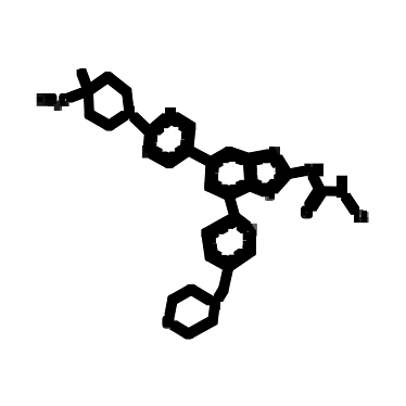 CCNC(=O)Nc1nc2cc(-c3cnc(N4CCC(C)(C(=O)O)CC4)nc3)cc(-c3ccc(CN4CCOCC4)cn3)c2s1